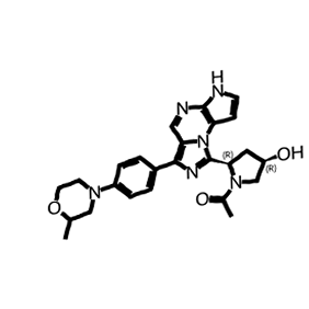 CC(=O)N1C[C@H](O)C[C@@H]1c1nc(-c2ccc(N3CCOC(C)C3)cc2)c2cnc3[nH]ccc3n12